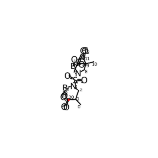 CC12CN(S(=O)(=O)N3CC4(C)C(=O)OB3OC4=O)B(OC1=O)OC2=O